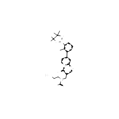 Cc1c(B2OC(C)(C)C(C)(C)O2)cccc1-c1ccn2c(=O)c(CN(CCO)C(=O)O)cnc2c1